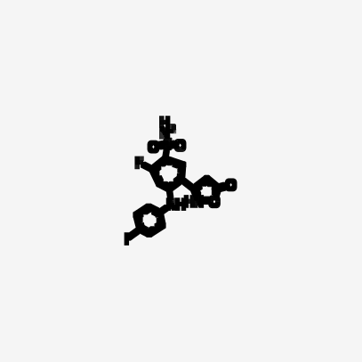 NS(=O)(=O)c1cc(-c2cc(=O)o[nH]2)c(Nc2ccc(I)cc2)cc1F